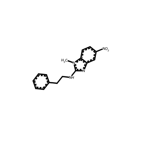 Cn1c(NCCc2ccccc2)nc2cc([N+](=O)[O-])ccc21